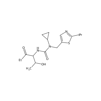 CCC(=O)C(NC(=O)N(Cc1cnc(C(C)C)s1)C1CC1)C(C)O